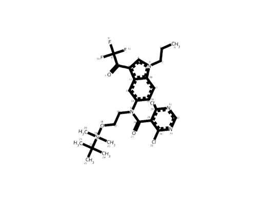 CCCn1cc(C(=O)C(F)(F)F)c2cc(N(CCO[Si](C)(C)C(C)(C)C)C(=O)c3c(Cl)ncnc3Cl)ccc21